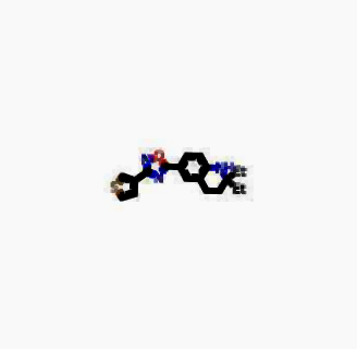 CCC1(CC)CCc2cc(-c3nc(-c4ccsc4)no3)ccc2N1